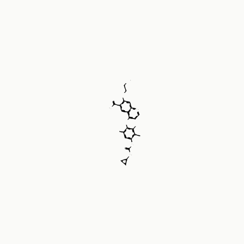 Cc1c(NC(=O)NC2CC2)cc(F)c(Oc2ccnc3cc(OCCC#N)c(C(N)=O)cc23)c1F